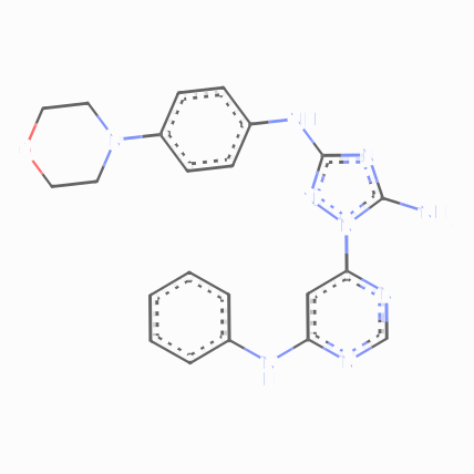 Nc1nc(Nc2ccc(N3CCOCC3)cc2)nn1-c1cc(Nc2ccccc2)ncn1